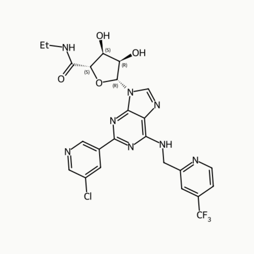 CCNC(=O)[C@H]1O[C@@H](n2cnc3c(NCc4cc(C(F)(F)F)ccn4)nc(-c4cncc(Cl)c4)nc32)[C@H](O)[C@@H]1O